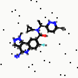 C[C@@H](c1ccc(C(F)(F)F)nn1)N(C(=O)c1cc2c(cc1F)nc(N)c1cnn(C)c12)C1CC1